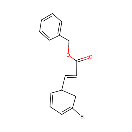 CCC1=CC=CC(C=CC(=O)OCc2ccccc2)C1